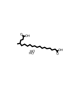 CC(CCCCCCCCCCCCCCC(=O)O)CCC(=O)O.Cl.Cl